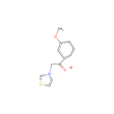 COc1cccc(C(=O)C[n+]2ccsc2)c1.[Br-]